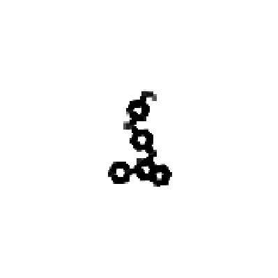 Cc1cnc(NC2CCC(Oc3nc(N4CCOCC4)cc4ncccc34)CC2)nc1